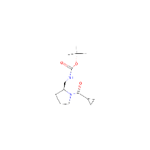 CC(C)(C)OC(=O)NC[C@@H]1CCCN1C(=O)C1CC1